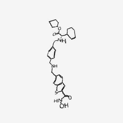 O=C(NO)c1cc2ccc(CNCc3ccc(CN[C@H](C(=O)OC4CCCC4)C4CCCCC4)cc3)cc2s1